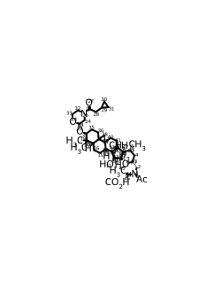 CC(=O)N(C[C@H]1C[C@@H](C)[C@H]2[C@H](O1)[C@H](O)[C@@]1(C)[C@@H]3CC[C@H]4C(C)(C)C(O[C@H]5CN(C(=O)CC6CC6)CCO5)CCC45C[C@@]35CC[C@]21C)[C@H](C)C(=O)O